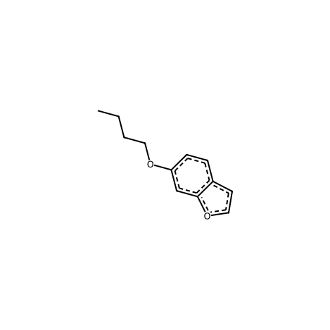 CCCCOc1ccc2ccoc2c1